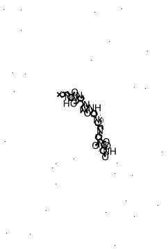 C[C@H]1C[C@]2(CCN(c3ccc4c(c3)C(=O)N(C3CCC(=O)NC3=O)C4=O)C2)CCN1c1ccc(Nc2nc(-c3ccnc(N4CCn5c(cc6c5CC(C)(C)C6)C4=O)c3CO)cn(C)c2=O)cc1